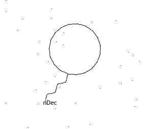 CCCCCCCCCCCCCCC1CCCCCCCCCCCCCCCCCC1